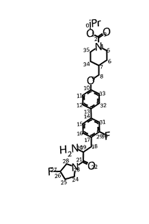 CC(C)OC(=O)N1CCC(COc2ccc(-c3ccc(CC(N)C(=O)N4CCC(F)C4)c(F)c3)cc2)CC1